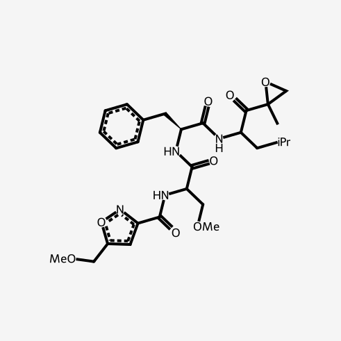 COCc1cc(C(=O)NC(COC)C(=O)N[C@@H](Cc2ccccc2)C(=O)NC(CC(C)C)C(=O)C2(C)CO2)no1